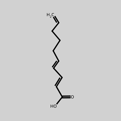 C=CCCC/C=C/C=C/C(=O)O